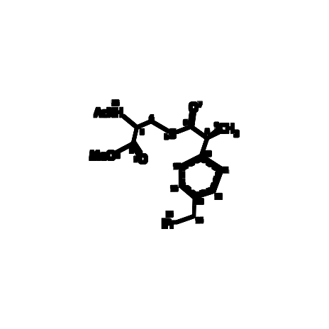 COC(=O)C(CSC(=O)[C@@H](C)c1ccc(CC(C)C)cc1)NC(C)=O